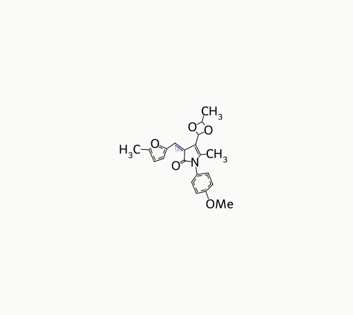 COc1ccc(N2C(=O)/C(=C\c3ccc(C)o3)C(C3OC(C)O3)=C2C)cc1